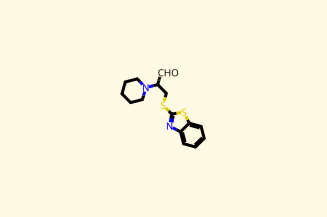 O=CC(CSc1nc2ccccc2s1)N1CCCCC1